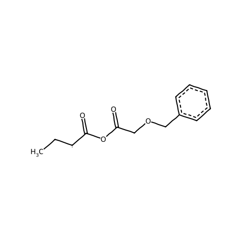 CC[CH]C(=O)OC(=O)COCc1ccccc1